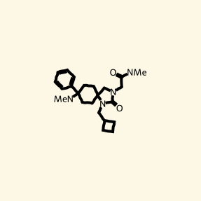 CNC(=O)CN1CC2(CCC(NC)(c3ccccc3)CC2)N(CC2CCC2)C1=O